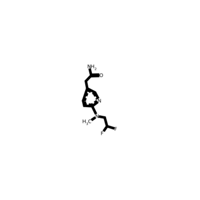 CN(CC(F)F)c1ccc(CC(N)=O)cn1